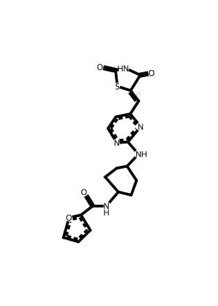 O=C1NC(=O)/C(=C/c2ccnc(NC3CCC(NC(=O)c4ccco4)CC3)n2)S1